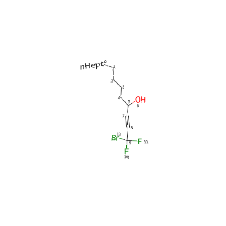 CCCCCCCCCCCC(O)C#CC(F)(F)Br